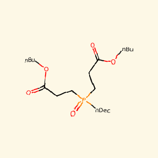 CCCCCCCCCCP(=O)(CCC(=O)OCCCC)CCC(=O)OCCCC